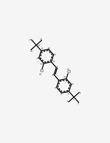 CC(C)(C)c1ccc(C=Cc2ccc(C(C)(C)C)cc2Cl)c(Cl)c1